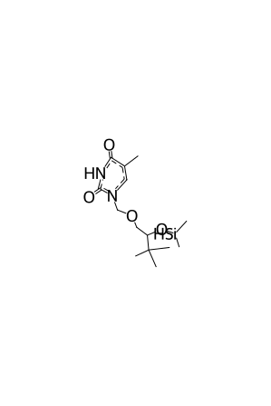 Cc1cn(COCC(O[SiH](C)C)C(C)(C)C)c(=O)[nH]c1=O